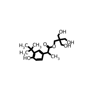 CC(C(=O)OCC(CO)(CO)CO)c1ccc(O)c(C(C)(C)C)c1